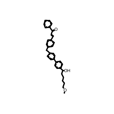 COCCCCCC(O)c1ccc(-c2ccc(Cc3ccc(/C=C/C(=O)c4ccccc4)cc3)cc2)cc1